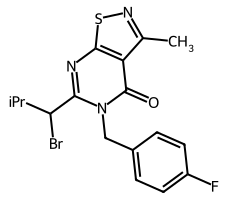 Cc1nsc2nc(C(Br)C(C)C)n(Cc3ccc(F)cc3)c(=O)c12